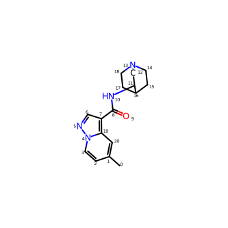 Cc1ccn2ncc(C(=O)NC3CN4CCC3CC4)c2c1